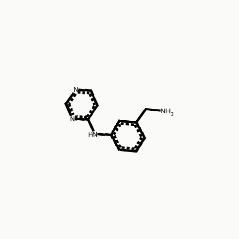 NCc1cccc(Nc2ccncn2)c1